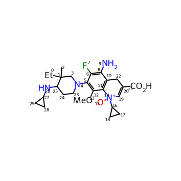 CCC1(C)CN(c2c(F)c(N)c3c(c2OC)[N+]([O-])(C2CC2)C=C(C(=O)O)C3)CCC1NC1CC1